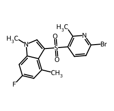 Cc1nc(Br)ccc1S(=O)(=O)c1cn(C)c2cc(F)cc(C)c12